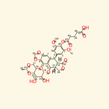 COc1cc([C@@H]2c3cc4c(cc3[C@H](O[C@H]3OC5CO[C@H](C)OC5[C@@H](O)[C@@H]3O)[C@H]3COC(=O)[C@H]23)OCO4)cc(OC)c1OC(=O)CCCC(=O)O